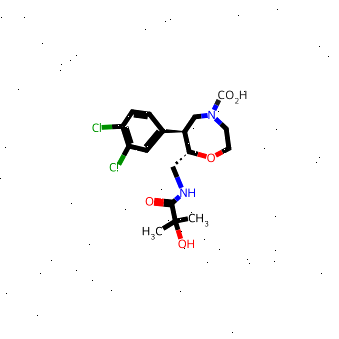 CC(C)(O)C(=O)NC[C@H]1OCCN(C(=O)O)C[C@@H]1c1ccc(Cl)c(Cl)c1